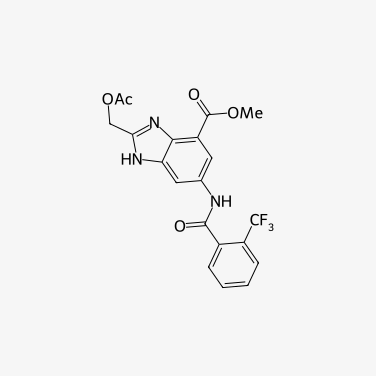 COC(=O)c1cc(NC(=O)c2ccccc2C(F)(F)F)cc2[nH]c(COC(C)=O)nc12